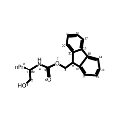 CCC[C@H](CO)NC(=O)OCC1c2ccccc2-c2ccccc21